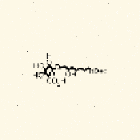 CCCCCCCCCCCCCCCC(O)CCOC1OC(C(=O)O)C(O)C(O)C1O